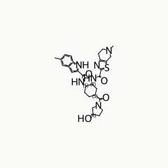 Cc1ccc2[nH]c(C(=O)N[C@H]3CC[C@H](C(=O)N4CC[C@@H](O)C4)C[C@H]3NC(=O)c3nc4c(s3)CN(C)CC4)cc2c1